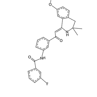 COc1ccc2c(c1)C(=CC(=O)c1cccc(NC(=O)c3cccc(F)c3)c1)NC(C)(C)C2